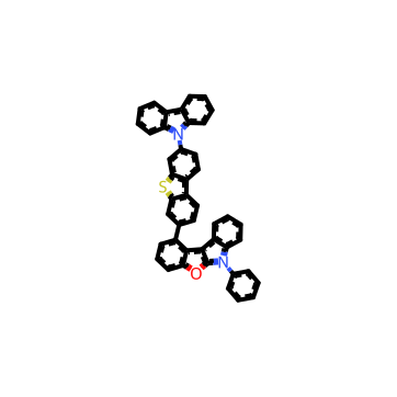 c1ccc(-n2c3ccccc3c3c4c(-c5ccc6c(c5)sc5cc(-n7c8ccccc8c8ccccc87)ccc56)cccc4oc32)cc1